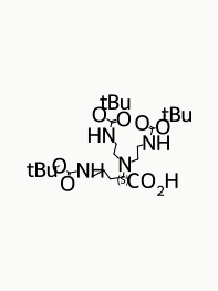 CC(C)(C)OC(=O)NCCC[C@@H](C(=O)O)N(CCNC(=O)OC(C)(C)C)CCNC(=O)OC(C)(C)C